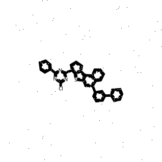 Clc1nc(-c2ccccc2)nc(-c2cccc3c2sc2cc(-c4cccc(-c5ccccc5)c4)c4ccccc4c23)n1